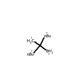 BC(C)(CCCC)CCCC